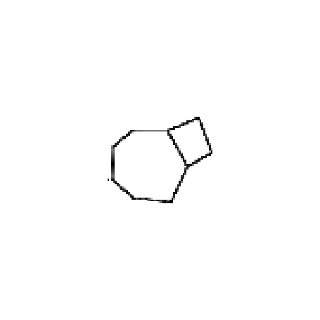 [CH]1CCC2CCC2CC1